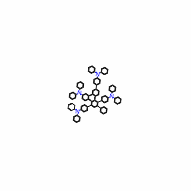 C1=CCC(N(c2ccccc2)c2ccc(-c3cc(-c4ccccc4)c(-c4ccc(N(c5ccccc5)c5ccccc5)cc4)c4c5ccc(-c6ccc(N(c7ccccc7)c7ccccc7)cc6)cc5c5cc(N(c6ccccc6)c6ccccc6)ccc5c34)cc2)C=C1